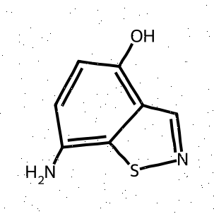 Nc1ccc(O)c2cnsc12